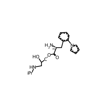 CC(C)NCC(O)COC(=O)[C@@H](N)Cc1ccccc1-n1cccc1